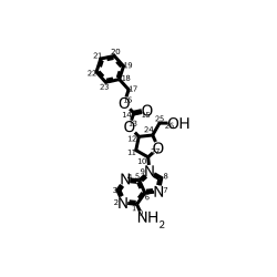 Nc1ncnc2c1ncn2C1CC(OC(=O)OCc2ccccc2)C(CO)O1